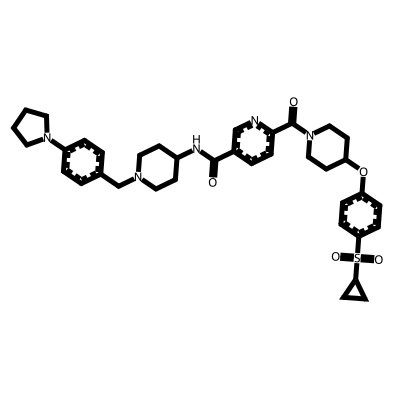 O=C(NC1CCN(Cc2ccc(N3CCCC3)cc2)CC1)c1ccc(C(=O)N2CCC(Oc3ccc(S(=O)(=O)C4CC4)cc3)CC2)nc1